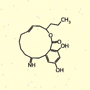 CCCC1C/C=C/CCCCC(=N)Cc2cc(O)cc(O)c2C(=O)O1